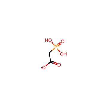 [O]C(=O)CP(=O)(O)O